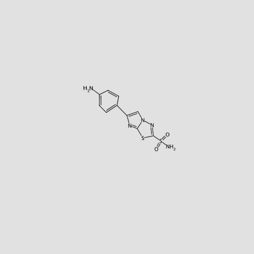 Nc1ccc(-c2cn3nc(S(N)(=O)=O)sc3n2)cc1